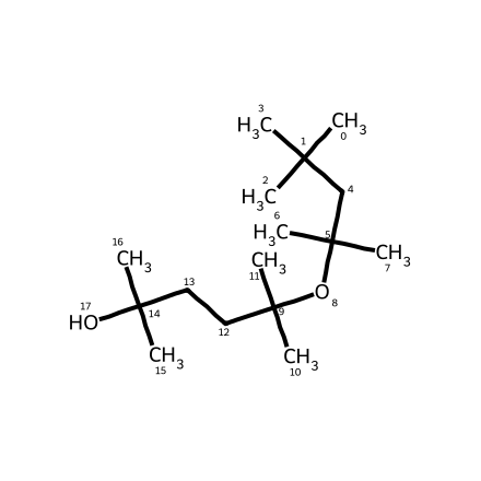 CC(C)(C)CC(C)(C)OC(C)(C)CCC(C)(C)O